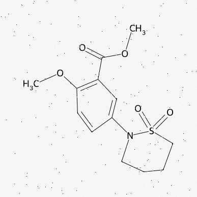 COC(=O)c1cc(N2CCCCS2(=O)=O)ccc1OC